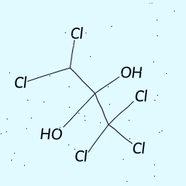 OC(O)(C(Cl)Cl)C(Cl)(Cl)Cl